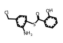 Nc1cc(CCl)ccc1SC(=O)c1ccccc1O